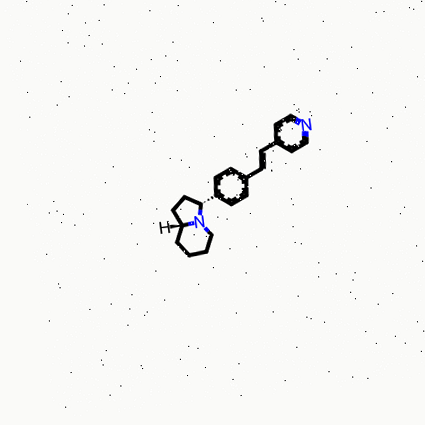 C(=C\c1ccc([C@H]2CC[C@H]3CCCCN32)cc1)/c1ccncc1